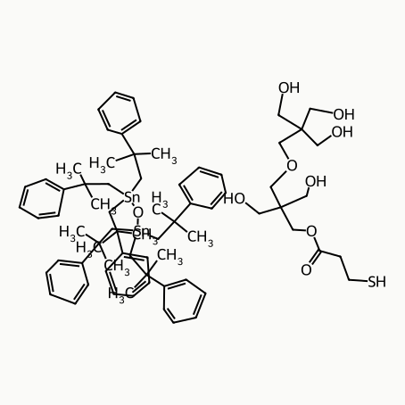 CC(C)([CH2][Sn]([CH2]C(C)(C)c1ccccc1)([CH2]C(C)(C)c1ccccc1)[O][Sn]([CH2]C(C)(C)c1ccccc1)([CH2]C(C)(C)c1ccccc1)[CH2]C(C)(C)c1ccccc1)c1ccccc1.O=C(CCS)OCC(CO)(CO)COCC(CO)(CO)CO